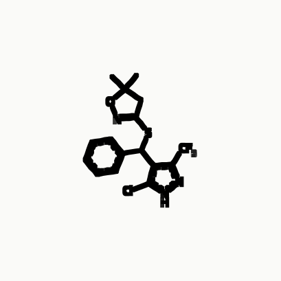 CC1(C)CC(SC(c2ccccc2)c2c(C(F)(F)F)n[nH]c2Cl)=NO1